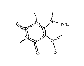 CN(N)c1c([N+](=O)[O-])c(=O)n(C)c(=O)n1C